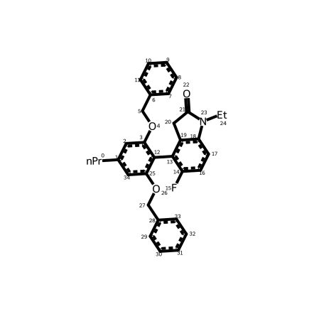 CCCc1cc(OCc2ccccc2)c(-c2c(F)ccc3c2CC(=O)N3CC)c(OCc2ccccc2)c1